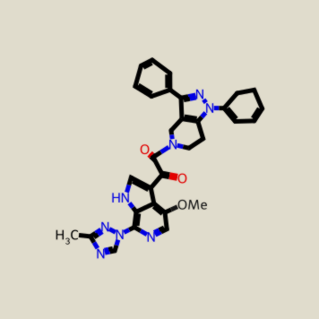 COc1cnc(-n2cnc(C)n2)c2[nH]cc(C(=O)C(=O)N3CCc4c(c(-c5ccccc5)nn4C4=CC=CCC4)C3)c12